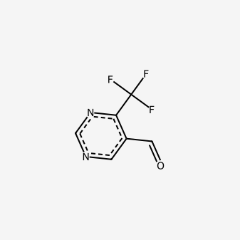 O=Cc1cncnc1C(F)(F)F